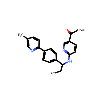 COC(=O)c1ccc(NC(CC(C)C)c2ccc(-c3ccc(C(F)(F)F)cn3)cc2)nc1